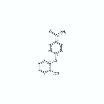 N#Cc1ccccc1Oc1ccc(C(N)=O)cc1